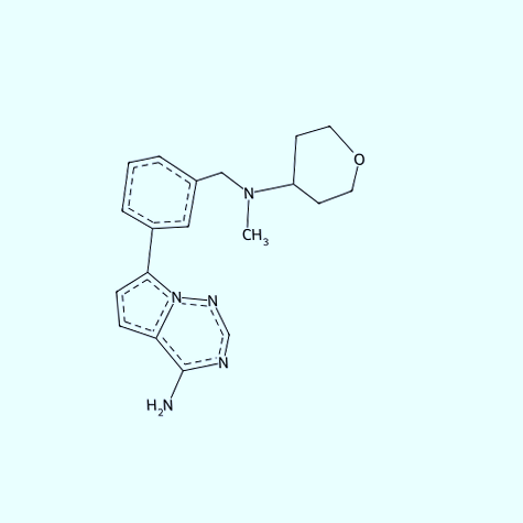 CN(Cc1cccc(-c2ccc3c(N)ncnn23)c1)C1CCOCC1